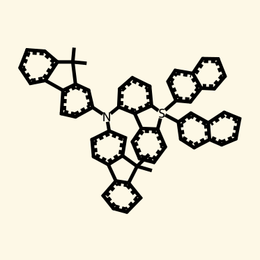 CC1(C)c2ccccc2-c2ccc(N(c3ccc4c(c3)C(C)(C)c3ccccc3-4)c3cccc4c3-c3ccccc3S4(c3ccc4ccccc4c3)c3ccc4ccccc4c3)cc21